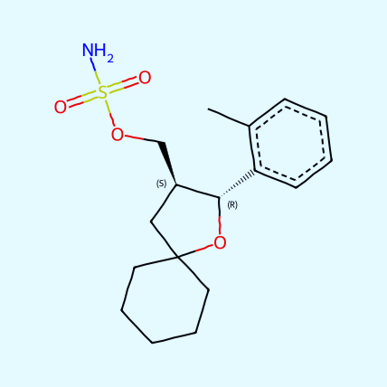 Cc1ccccc1[C@@H]1OC2(CCCCC2)C[C@H]1COS(N)(=O)=O